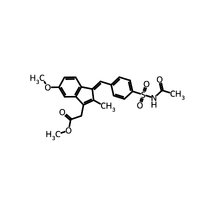 COC(=O)CC1=C(C)C(=Cc2ccc(S(=O)(=O)NC(C)=O)cc2)c2ccc(OC)cc21